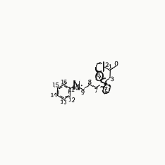 CC(Cl)CS(=O)(=O)CCC[N]c1ccccc1